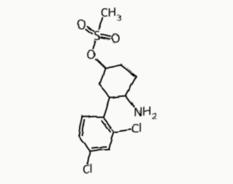 CS(=O)(=O)OC1CCC(N)C(c2ccc(Cl)cc2Cl)C1